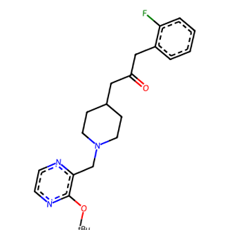 CC(C)(C)Oc1nccnc1CN1CCC(CC(=O)Cc2ccccc2F)CC1